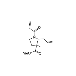 C=CCC1N(C(=O)C=C)CCC1(C)C(=O)OC